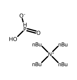 CCCC[N+](CCCC)(CCCC)CCCC.O=[PH]([O-])O